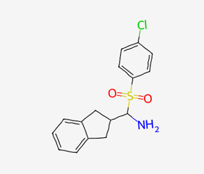 NC(C1Cc2ccccc2C1)S(=O)(=O)c1ccc(Cl)cc1